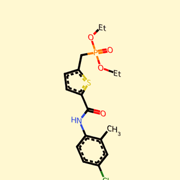 CCOP(=O)(Cc1ccc(C(=O)Nc2ccc(Cl)cc2C)s1)OCC